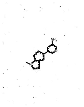 Cn1ccc2cc(-c3cncc(N)c3)ccc21